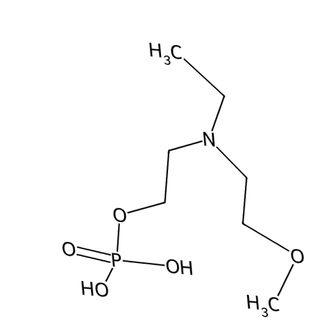 CCN(CCOC)CCOP(=O)(O)O